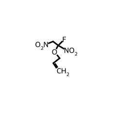 C=CCOC(F)(C[N+](=O)[O-])[N+](=O)[O-]